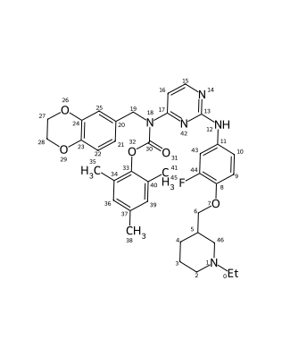 CCN1CCCC(COc2ccc(Nc3nccc(N(Cc4ccc5c(c4)OCCO5)C(=O)Oc4c(C)cc(C)cc4C)n3)cc2F)C1